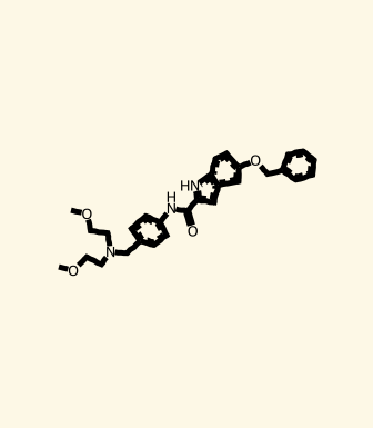 COCCN(CCOC)Cc1ccc(NC(=O)c2cc3cc(OCc4ccccc4)ccc3[nH]2)cc1